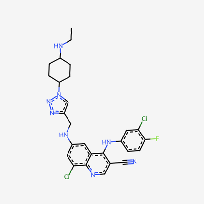 CCNC1CCC(n2cc(CNc3cc(Cl)c4ncc(C#N)c(Nc5ccc(F)c(Cl)c5)c4c3)nn2)CC1